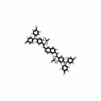 CC(=O)OC(Cc1ccc2cc(CC(OC(C)=O)c3ccc(N(c4ccc(C)cc4)c4ccc(C)cc4)cc3)ccc2c1)c1ccc(N(c2ccc(C)cc2)c2ccc(C)cc2)cc1